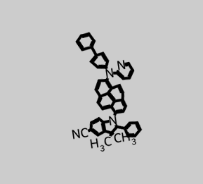 CC1(C)c2cc(C#N)ccc2N(c2ccc3ccc4c(N(c5ccc(-c6ccccc6)cc5)c5ccccn5)ccc5ccc2c3c54)C1c1ccccc1